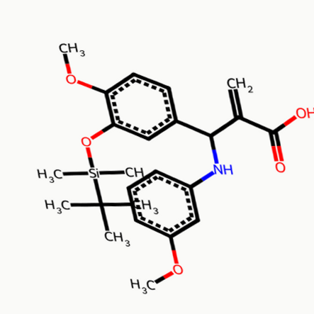 C=C(C(=O)O)C(Nc1cccc(OC)c1)c1ccc(OC)c(O[Si](C)(C)C(C)(C)C)c1